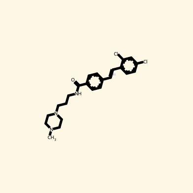 CN1CCN(CCCNC(=O)c2ccc(/C=C/c3ccc(Cl)cc3Cl)cc2)CC1